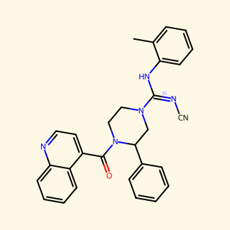 Cc1ccccc1N/C(=N/C#N)N1CCN(C(=O)c2ccnc3ccccc23)C(c2ccccc2)C1